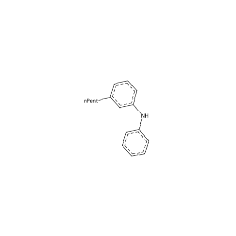 CCCCCc1cccc(Nc2ccccc2)c1